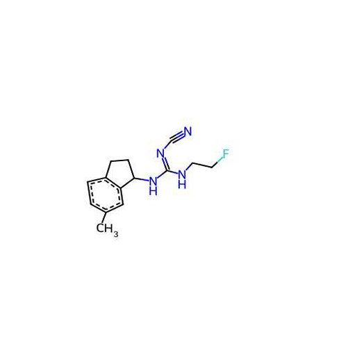 Cc1ccc2c(c1)C(NC(=NC#N)NCCF)CC2